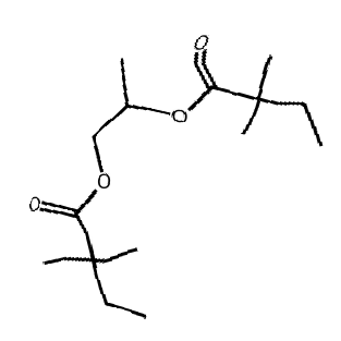 CCC(C)(C)C(=O)OCC(C)OC(=O)C(C)(C)CC